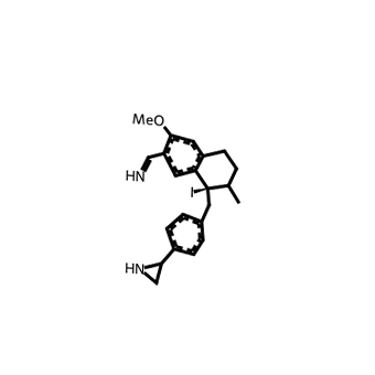 COc1cc2c(cc1C=N)[C@@](I)(Cc1ccc(C3CN3)cc1)C(C)CC2